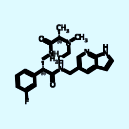 CCN(C)[C@@H](C)C(=O)NC[C@H](C(=O)NCc1cnc2[nH]ccc2c1)c1cccc(F)c1